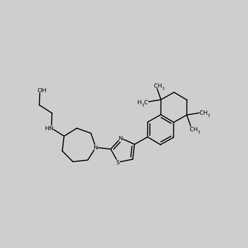 CC1(C)CCC(C)(C)c2cc(-c3csc(N4CCCC(NCCO)CC4)n3)ccc21